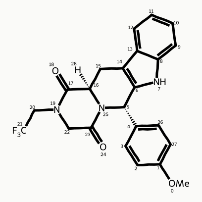 COc1ccc([C@H]2c3[nH]c4ccccc4c3C[C@@H]3C(=O)N(CC(F)(F)F)CC(=O)N23)cc1